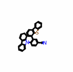 N#Cc1ccc(-n2c3c(c4ccccc42)C=CCC3)c(C2=C=C=Cc3c2sc2ccccc32)c1